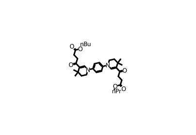 CCCCOC(=O)CCC(=O)C1=CN(c2ccc(N3C=C(C(=O)CCC(=O)OCCC)C(C)(C)CC3)cc2)CCC1(C)C